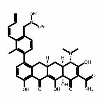 C=C/C=C\c1c(CN(CCC)CCC)ccc(-c2ccc(O)c3c2C[C@H]2C[C@H]4[C@H](N(C)C)C(O)=C(C(N)=O)C(=O)[C@@]4(O)C(O)=C2C3=O)c1C